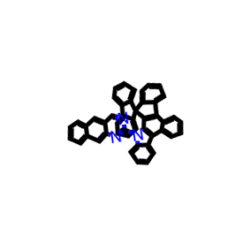 c1ccc2c(c1)-c1ccccc1C21c2ccccc2-c2c1c1c(c3ccccc23)c2ccccc2n1-c1ncc2cc3ccccc3cc2n1